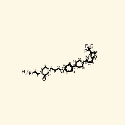 COCCN1CCN(CCCOc2ccc(C3CCN(c4ccc5nnc(C(F)(F)F)n5n4)CC3)cc2)CC1=O